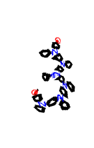 COc1ccc(N(c2ccccc2)c2ccc(N(c3ccccc3)c3ccc(N(c4ccccc4)c4ccc(N(c5ccccc5)c5ccc(N(c6ccccc6)c6ccc(N(c7ccccc7)c7ccc(OC)cc7)cc6)cc5)cc4)cc3)cc2)cc1